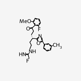 COc1cccc(F)c1C(=O)CC[C@@H](CCCNC(=N)CF)c1ncc(-c2cccc(C)c2)o1